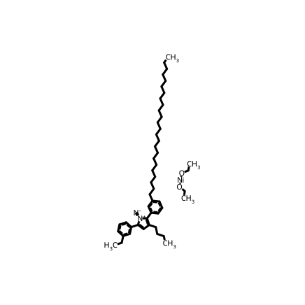 CCCCCCCCCCCCCCCCCCCCCCCCc1cccc(C2=C(CCCC)C=C(c3cccc(CC)c3)[N+]2=[N-])c1.CC[O][Ni][O]CC